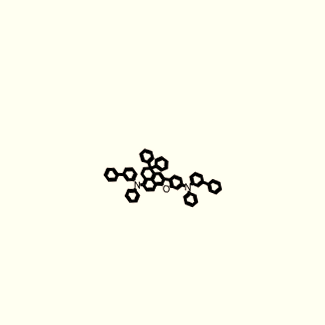 c1ccc(-c2cccc(N(c3ccccc3)c3ccc4c(c3)oc3c5ccc(N(c6ccccc6)c6cccc(-c7ccccc7)c6)c6c5c(cc43)C(c3ccccc3)(c3ccccc3)CC6)c2)cc1